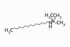 CCCCCCCCCCCCCCN[Si](CC)(CC)CC